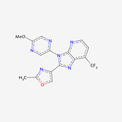 COc1cnc(-n2c(-c3coc(C)n3)nc3c(C(F)(F)F)ccnc32)cn1